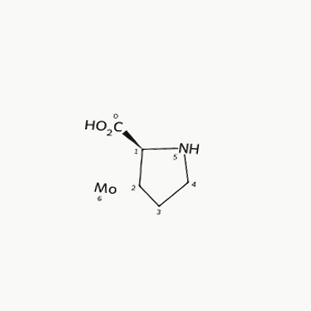 O=C(O)[C@@H]1CCCN1.[Mo]